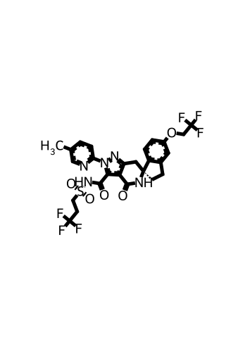 Cc1ccc(-n2nc3c(c2C(=O)NS(=O)(=O)CCC(F)(F)F)C(=O)N[C@@]2(CCc4cc(OCC(F)(F)F)ccc42)C3)nc1